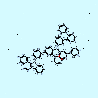 c1ccc(-c2cccc(N(c3ccc4c5ccccc5c5ccccc5c4c3)c3ccc(-c4cccc(-n5c6ccccc6c6ccc7ccccc7c65)c4)cc3-c3ccccc3)c2)cc1